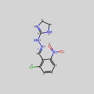 O=[N+]([O-])c1cccc(Cl)c1/C=N/NC1=NCCN1